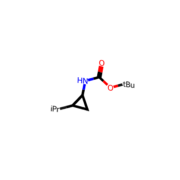 CC(C)C1CC1NC(=O)OC(C)(C)C